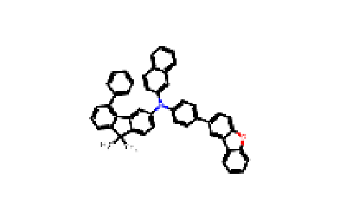 CC1(C)c2ccc(N(c3ccc(-c4ccc5oc6ccccc6c5c4)cc3)c3ccc4ccccc4c3)cc2-c2c(-c3ccccc3)cccc21